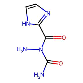 NC(=O)N(N)C(=O)c1ncc[nH]1